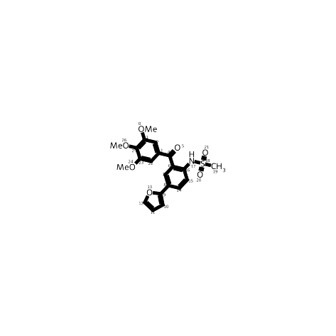 COc1cc(C(=O)c2cc(-c3ccco3)ccc2NS(C)(=O)=O)cc(OC)c1OC